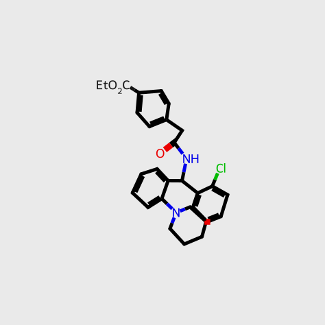 CCOC(=O)c1ccc(CC(=O)NC(c2ccccc2Cl)c2ccccc2N2CCCCC2)cc1